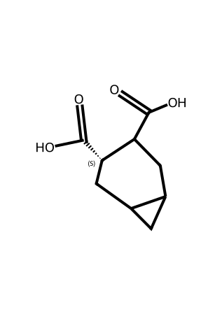 O=C(O)C1CC2CC2C[C@@H]1C(=O)O